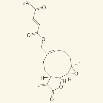 C=C1C(=O)O[C@H]2[C@H]1CC/C(COC(=O)/C=C/C(=O)CCC)=C\CC[C@@]1(C)O[C@@H]21